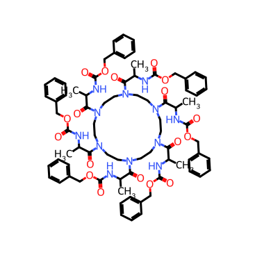 CC(NC(=O)OCc1ccccc1)C(=O)N1CCN(C(=O)C(C)NC(=O)OCc2ccccc2)CCN(C(=O)C(C)NC(=O)OCc2ccccc2)CCN(C(=O)C(C)NC(=O)OCc2ccccc2)CCN(C(=O)C(C)NC(=O)OCc2ccccc2)CCN(C(=O)C(C)NC(=O)OCc2ccccc2)CC1